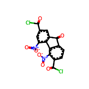 O=C(Cl)c1cc2c(c([N+](=O)[O-])c1)-c1c(ccc(C(=O)Cl)c1[N+](=O)[O-])C2=O